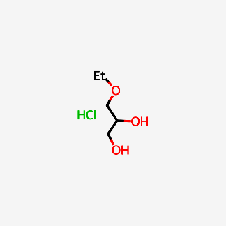 CCOCC(O)CO.Cl